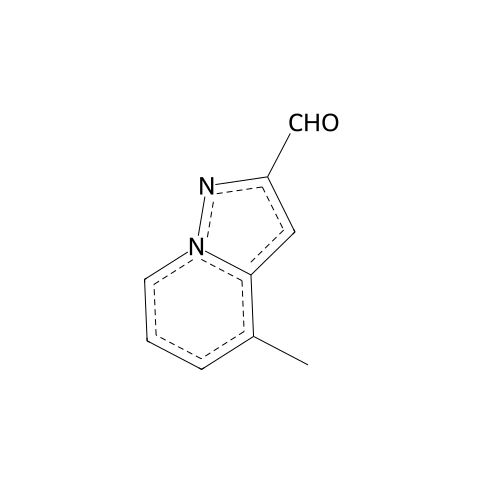 Cc1cccn2nc(C=O)cc12